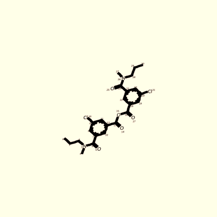 CCCN(C)C(=O)c1cc(Cl)cc(C(=O)OC(=O)c2cc(Cl)cc(C(=O)N(C)CCC)c2)c1